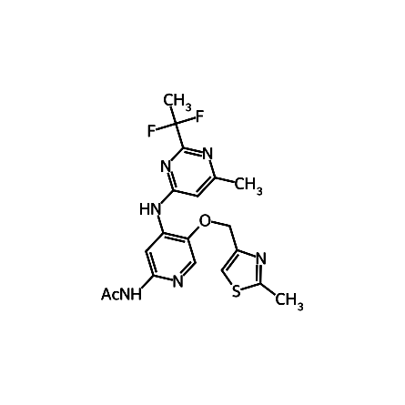 CC(=O)Nc1cc(Nc2cc(C)nc(C(C)(F)F)n2)c(OCc2csc(C)n2)cn1